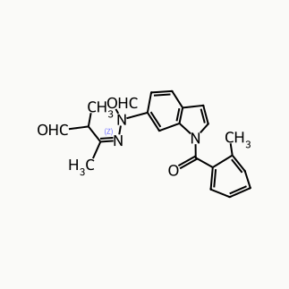 C/C(=N/N(C=O)c1ccc2ccn(C(=O)c3ccccc3C)c2c1)C(C)C=O